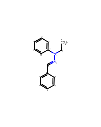 O=C(O)CN(/N=C/c1ccccc1)c1ccccc1